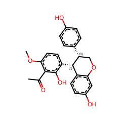 COc1ccc([C@H]2c3ccc(O)cc3OC[C@H]2c2ccc(O)cc2)c(O)c1C(C)=O